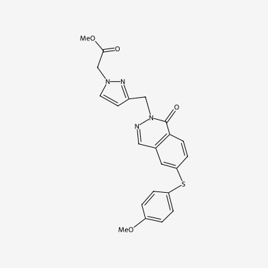 COC(=O)Cn1ccc(Cn2ncc3cc(Sc4ccc(OC)cc4)ccc3c2=O)n1